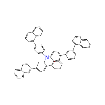 C1=C(c2ccc3ccccc3c2)CC(N(c2ccc(-c3cccc(-c4cccc5ccccc45)c3)cc2)c2ccc(-c3cccc4ccccc34)cc2)C(c2ccccc2)=C1